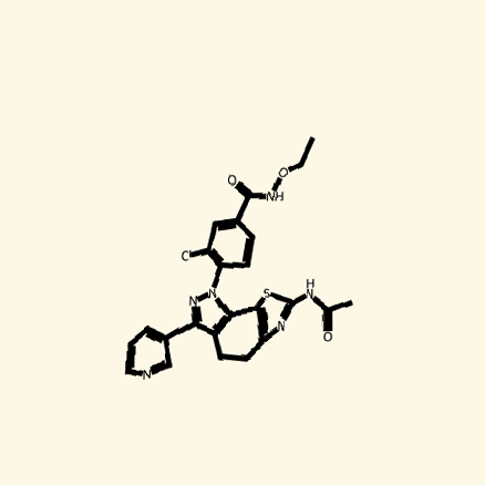 CCONC(=O)c1ccc(-n2nc(-c3cccnc3)c3c2-c2sc(NC(C)=O)nc2CC3)c(Cl)c1